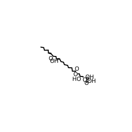 CCCCC=CC(CC=CCCCCCCCC(=O)OCC(O)COP(=O)(O)O)OO